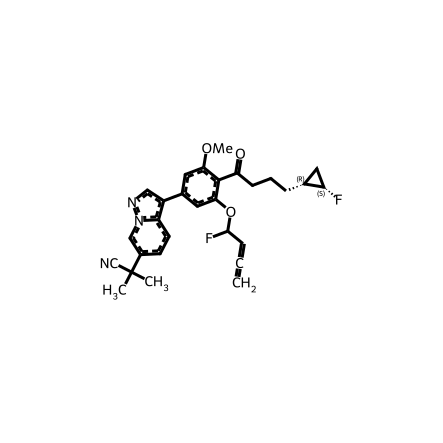 C=C=CC(F)Oc1cc(-c2cnn3cc(C(C)(C)C#N)ccc23)cc(OC)c1C(=O)CCC[C@@H]1C[C@@H]1F